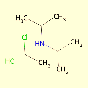 CC(C)NC(C)C.CCCl.Cl